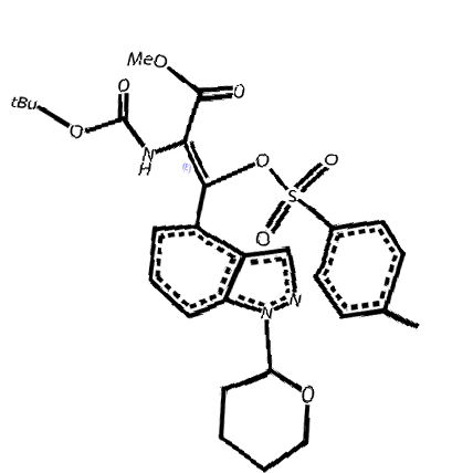 COC(=O)/C(NC(=O)OC(C)(C)C)=C(\OS(=O)(=O)c1ccc(C)cc1)c1cccc2c1cnn2C1CCCCO1